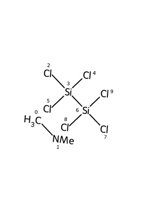 CNC.Cl[Si](Cl)(Cl)[Si](Cl)(Cl)Cl